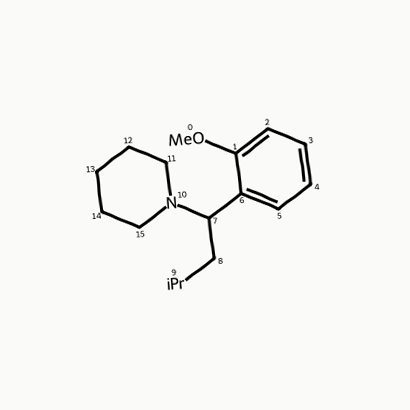 COc1ccccc1C(CC(C)C)N1CCCCC1